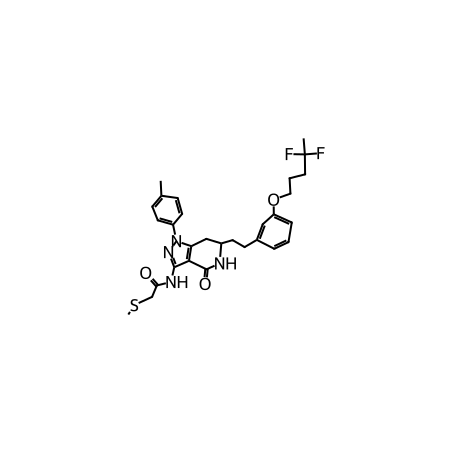 CSCC(=O)Nc1nn(-c2ccc(C)cc2)c2c1C(=O)NC(CCc1cccc(OCCCC(C)(F)F)c1)C2